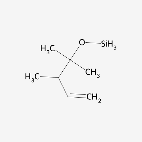 C=CC(C)C(C)(C)O[SiH3]